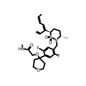 C=C/C(=C\C=C/C)[C@H]1CC[C@H](C)N(Cc2cc(F)c(C3(OCC(=O)NC)CCOCC3)cc2F)S1(=O)=O